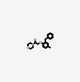 Cc1ccc(OCC(=O)N2CCOCC2)c(Cc2ccccc2)c1